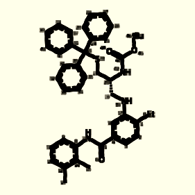 CCc1ccc(C(=O)Nc2cccc(C)c2C)cc1NC[C@H](CSC(c1ccccc1)(c1ccccc1)c1ccccc1)NC(=O)OC(C)(C)C